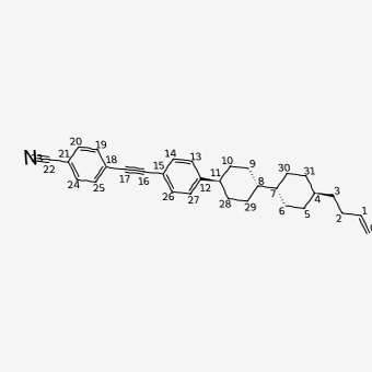 C=CCC[C@H]1CC[C@H]([C@H]2CC[C@H](c3ccc(C#Cc4ccc(C#N)cc4)cc3)CC2)CC1